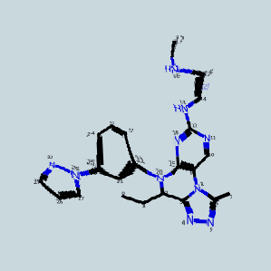 CCC1c2nnc(C)n2-c2cnc(N/C=C\NC)nc2N1c1cccc(-n2cccn2)c1